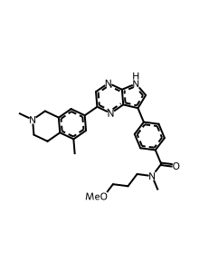 COCCCN(C)C(=O)c1ccc(-c2c[nH]c3ncc(-c4cc(C)c5c(c4)CN(C)CC5)nc23)cc1